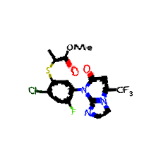 COC(=O)C(C)Sc1cc(-n2c(=O)cc(C(F)(F)F)n3ccnc23)c(F)cc1Cl